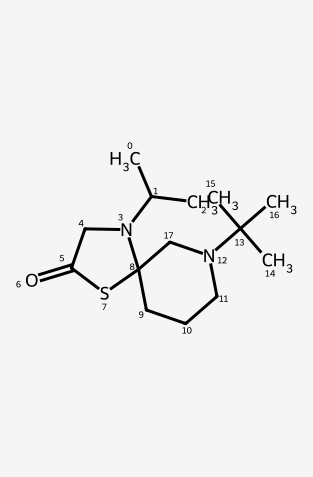 CC(C)N1CC(=O)SC12CCCN(C(C)(C)C)C2